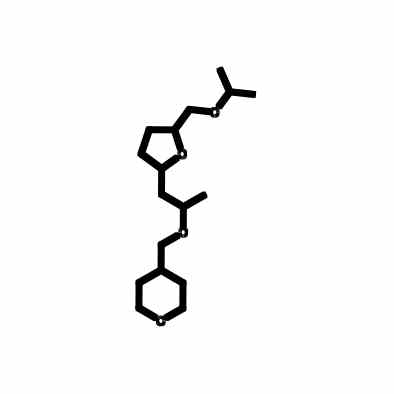 CC(C)OCC1CCC(CC(C)OCC2CCOCC2)O1